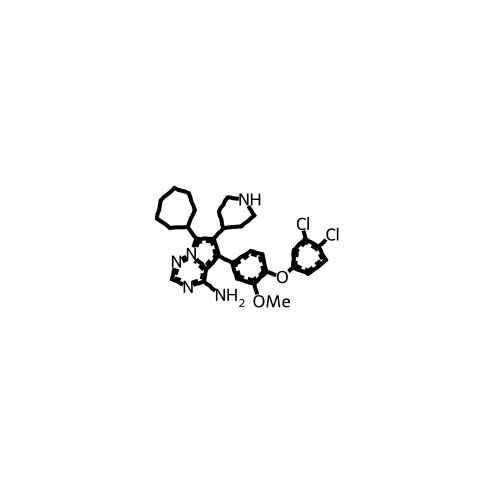 COc1cc(-c2c(C3CCNCC3)c(C3CCCCCC3)n3ncnc(N)c23)ccc1Oc1ccc(Cl)c(Cl)c1